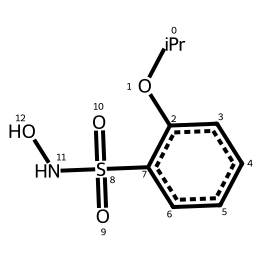 CC(C)Oc1ccccc1S(=O)(=O)NO